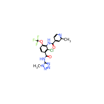 Cc1cc(C(=O)Nc2c(OC(F)(F)F)ccc(C(=O)Nc3nnnn3C)c2Cl)ccn1